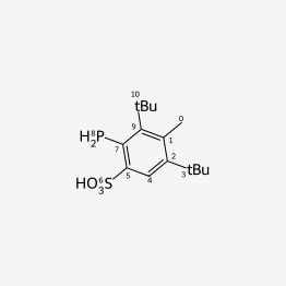 Cc1c(C(C)(C)C)cc(S(=O)(=O)O)c(P)c1C(C)(C)C